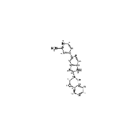 Nc1nccc(C2=CC3N=C(C4COc5ccccc5C4)NC3C=C2)n1